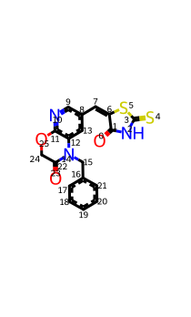 O=C1NC(=S)SC1=Cc1cnc2c(c1)N(Cc1ccccc1)C(=O)CO2